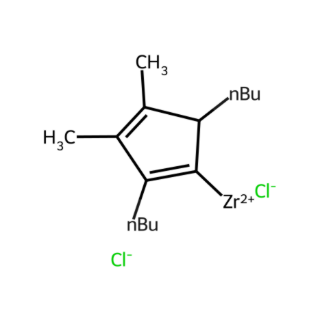 CCCCC1=[C]([Zr+2])C(CCCC)C(C)=C1C.[Cl-].[Cl-]